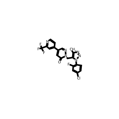 Cc1nnn(-c2ccc(Cl)cc2F)c1Cn1ncc(-c2ccnc(C(F)(F)F)c2)cc1=O